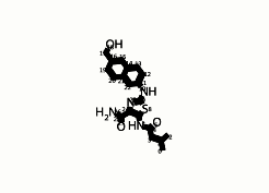 CC(C)=CC(=O)Nc1sc(Nc2ccc3cc(CO)ccc3c2)nc1C(N)=O